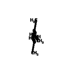 CCCCCCCCCCCCOc1ccc(Nc2nc(Nc3ccc(C)cc3)nc(Nc3cccc(OCCCCCCCCCCCC)c3)n2)cc1